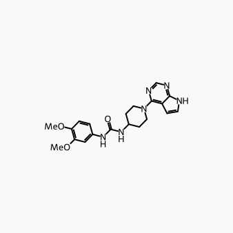 COc1ccc(NC(=O)NC2CCN(c3ncnc4[nH]ccc34)CC2)cc1OC